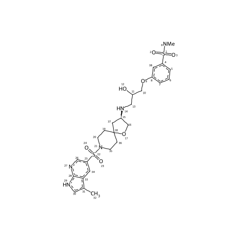 CNS(=O)(=O)c1cccc(OCC(O)CN[C@H]2COC3(CCN(S(=O)(=O)c4cnc5[nH]cc(C)c5c4)CC3)C2)c1